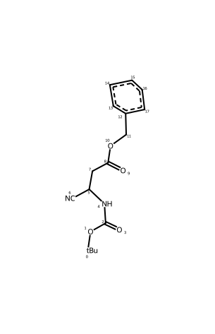 CC(C)(C)OC(=O)NC(C#N)CC(=O)OCc1ccccc1